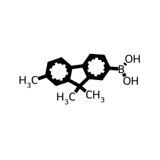 Cc1ccc2c(c1)C(C)(C)c1cc(B(O)O)ccc1-2